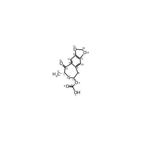 C[C@H]1S[C@H](OC(=O)O)Cc2cc3c(cc2C1=O)OCO3